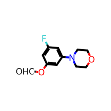 O=COc1cc(F)cc(N2CCOCC2)c1